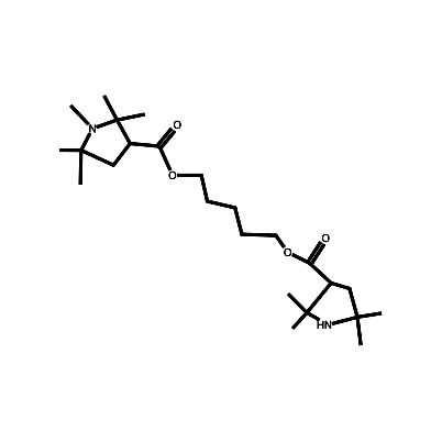 CN1C(C)(C)CC(C(=O)OCCCCCOC(=O)C2CC(C)(C)NC2(C)C)C1(C)C